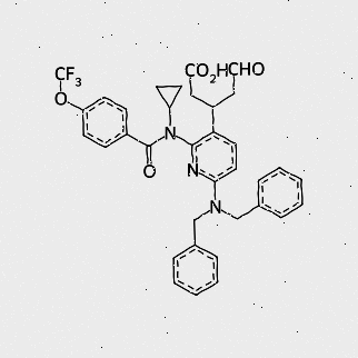 O=CCC(CC(=O)O)c1ccc(N(Cc2ccccc2)Cc2ccccc2)nc1N(C(=O)c1ccc(OC(F)(F)F)cc1)C1CC1